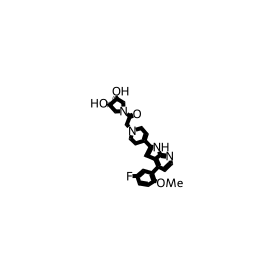 COc1ccc(F)cc1-c1ccnc2[nH]c(C3=CCN(CC(=O)N4C[C@H](O)[C@@H](O)C4)CC3)cc12